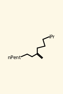 [CH2]CCCCCCC(=C)CCCC(C)C